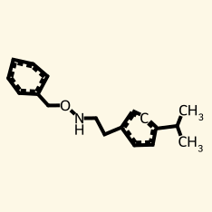 CC(C)c1ccc(CCNOCc2ccccc2)cc1